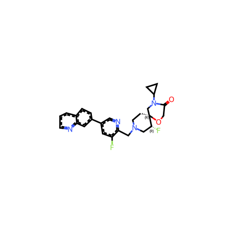 O=C1CO[C@]2(CCN(Cc3ncc(-c4ccc5cccnc5c4)cc3F)C[C@H]2F)CN1C1CC1